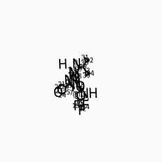 N[C@H](c1cn2nc(C[C@H]3C[C@@H](C(F)(F)F)CNC3=O)c(C3CCOCC3)nc2n1)C(C1CC1)C1CC1